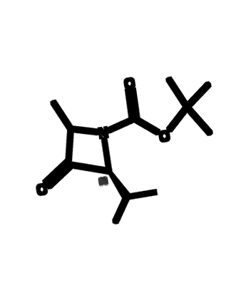 CC(C)[C@H]1C(=O)C(C)N1C(=O)OC(C)(C)C